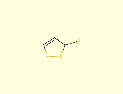 ClC1C=CSS1